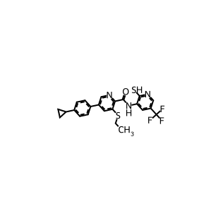 CCSc1cc(-c2ccc(C3CC3)cc2)cnc1C(=O)Nc1cc(C(F)(F)F)cnc1S